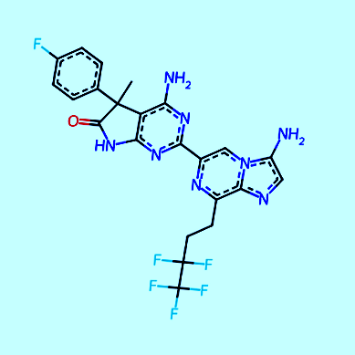 CC1(c2ccc(F)cc2)C(=O)Nc2nc(-c3cn4c(N)cnc4c(CCC(F)(F)C(F)(F)F)n3)nc(N)c21